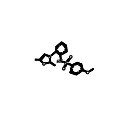 COc1ccc(S(=O)(=O)Nc2ccccc2N2C=C(C)OC2C)cc1